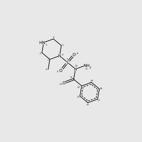 CC1CNCCN1S(=O)(=O)N(N)C(=O)c1ccccc1